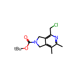 Cc1nc(CCl)c2c(c1C)CN(C(=O)OC(C)(C)C)C2